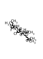 COC(=O)NC(CCC=CC(=O)N(C)C)C(=O)Nc1cc(Cl)cn(Cc2nc3c(F)cnc(CC(C)C)c3[nH]2)c1=O